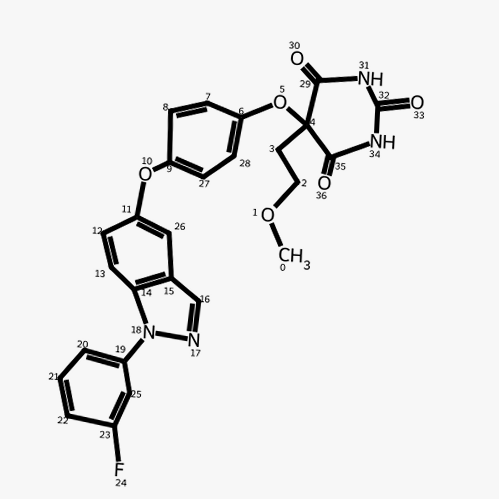 COCCC1(Oc2ccc(Oc3ccc4c(cnn4-c4cccc(F)c4)c3)cc2)C(=O)NC(=O)NC1=O